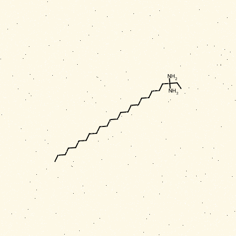 CCCCCCCCCCCCCCCCCCCCCCC(N)(N)CC